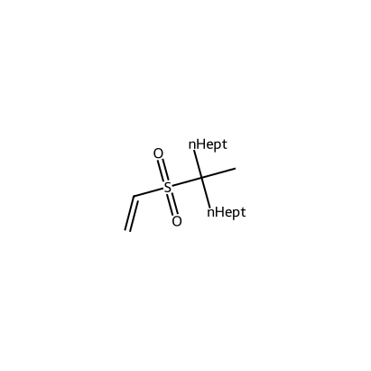 C=CS(=O)(=O)C(C)(CCCCCCC)CCCCCCC